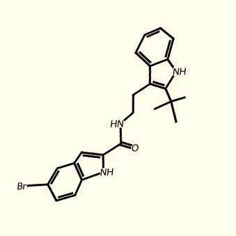 CC(C)(C)c1[nH]c2ccccc2c1CCNC(=O)c1cc2cc(Br)ccc2[nH]1